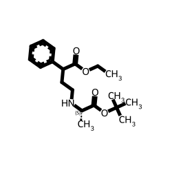 CCOC(=O)C(CCN[C@@H](C)C(=O)OC(C)(C)C)c1ccccc1